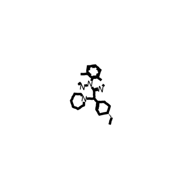 C=NN(/C(=N\C)C(C1=CC[C@@H](CC)CC1)N1CCCCCC1)c1c(C)cccc1C